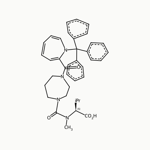 CC(C)[C@@H](C(=O)O)N(C)C(=O)N1CCCN(C(=O)C2=CC=CC=CN2C(c2ccccc2)(c2ccccc2)c2ccccc2)CC1